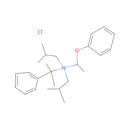 CC(C)C[N+](CC(C)C)(C(C)Oc1ccccc1)C(C)(C)c1ccccc1.[Cl-]